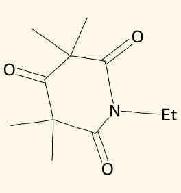 CCN1C(=O)C(C)(C)C(=O)C(C)(C)C1=O